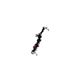 CCCCCCCCOc1ccc(-c2ccc(OC[C@H]3CC[C@H](OC(=O)[C@H](F)CCCC)CC3)cc2)cc1Br